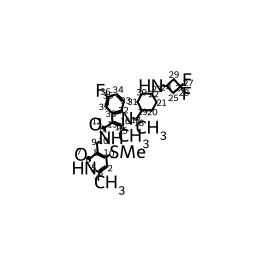 CSc1cc(C)[nH]c(=O)c1CNC(=O)c1c(C)n(C(C)C2CCC(NC3CC(F)(F)C3)CC2)c2ccc(F)cc12